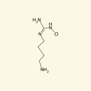 NCCCC/N=C(/N)NCl